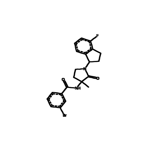 CC1(NC(=O)c2cccc(Br)c2)CCN(C2CCc3c(F)cccc32)C1=O